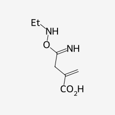 C=C(CC(=N)ONCC)C(=O)O